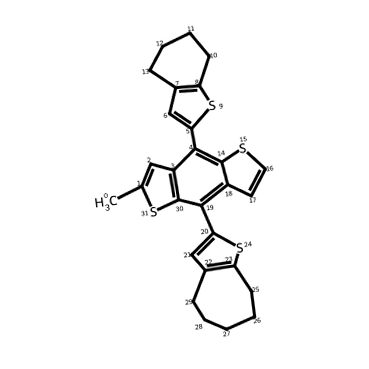 Cc1cc2c(-c3cc4c(s3)CCCC4)c3sccc3c(-c3cc4c(s3)CCCCC4)c2s1